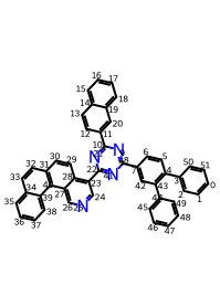 c1ccc(-c2ccc(-c3nc(-c4ccc5ccccc5c4)nc(-c4cncc5c4ccc4ccc6ccccc6c45)n3)cc2-c2ccccc2)cc1